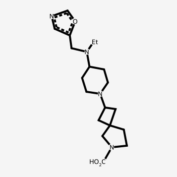 CCN(Cc1cnco1)C1CCN(C2CC3(CCN(C(=O)O)C3)C2)CC1